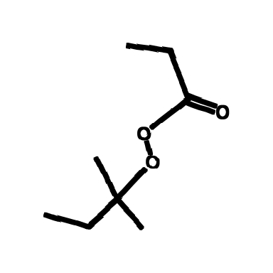 CCC(=O)OOC(C)(C)CC